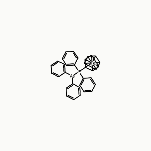 c1ccc([As](c2ccccc2)[P](c2ccccc2)(c2ccccc2)[C]23[CH]4[CH]5[CH]6[CH]2[Fe]56432789[CH]3[CH]2[CH]7[CH]8[CH]39)cc1